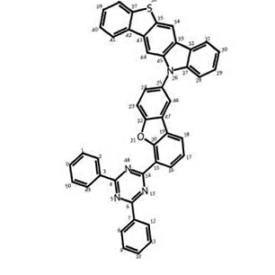 c1ccc(-c2nc(-c3ccccc3)nc(-c3cccc4c3oc3ccc(-n5c6ccccc6c6cc7sc8ccccc8c7cc65)cc34)n2)cc1